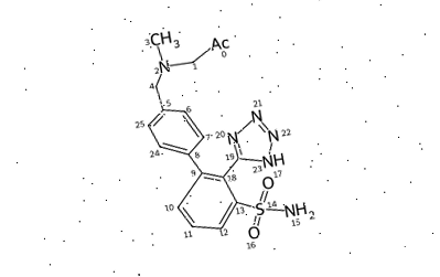 CC(=O)CN(C)Cc1ccc(-c2cccc(S(N)(=O)=O)c2-c2nnn[nH]2)cc1